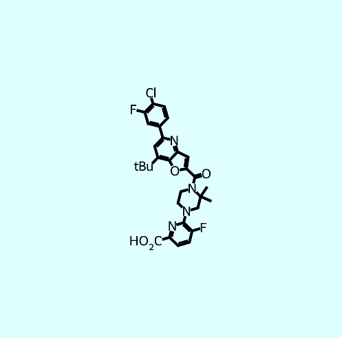 CC(C)(C)c1cc(-c2ccc(Cl)c(F)c2)nc2cc(C(=O)N3CCN(c4nc(C(=O)O)ccc4F)CC3(C)C)oc12